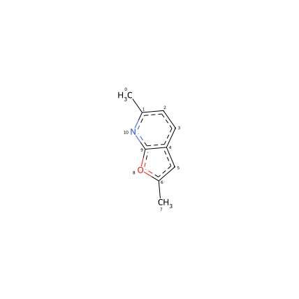 Cc1ccc2cc(C)oc2n1